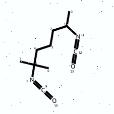 CC(CCCC(C)(C)N=C=O)N=C=O